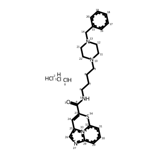 Cl.Cl.Cl.O=C(NCCCCN1CCN(Cc2ccccc2)CC1)C1=Cc2cnc3cccc(n23)S1